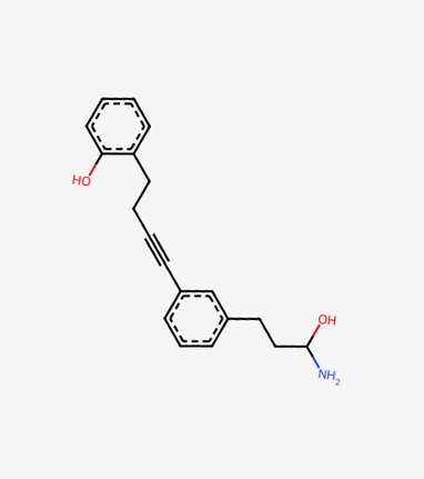 NC(O)CCc1cccc(C#CCCc2ccccc2O)c1